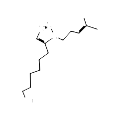 CC(C)=CCCn1nncc1CCCCCCC(C)C